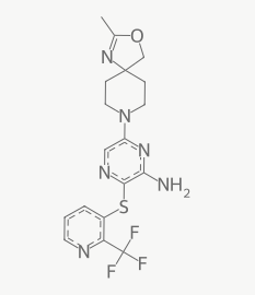 CC1=NC2(CCN(c3cnc(Sc4cccnc4C(F)(F)F)c(N)n3)CC2)CO1